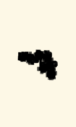 CC(C)(C)OC(=O)N[C@@H](Cc1nc(-c2cccc(Oc3ccc(-c4ccn[nH]4)cn3)c2)no1)C(=O)OCc1ccccc1